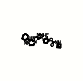 O=C(NC12CC(C1)C2)O[C@@H]1CC[C@H](c2cc(Nc3nccn4nc5c(c34)CCCC5)n[nH]2)[C@H]1F